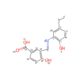 CCc1ccc(O)c(/N=C/c2cc(C(=O)O)ccc2O)c1